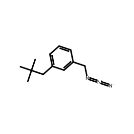 CC(C)(C)Cc1cccc(CN=[N+]=[N-])c1